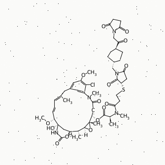 COc1cc2cc(c1Cl)N(C)C(=O)C[C@H](OC(=O)[C@H](C)N(C)C(=O)CCS[C@H]1CC(=O)N(C[C@H]3CC[C@H](C(=O)CN4C(=O)CCC4=O)CC3)C1=O)[C@]1(C)O[C@H]1[C@H](C)[C@@H]1C[C@@](O)(NC(=O)O1)[C@H](OC)/C=C/C=C(\C)C2